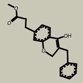 COC(=O)CCc1ccc2c(c1)OCC(Cc1ccccc1)=C2O